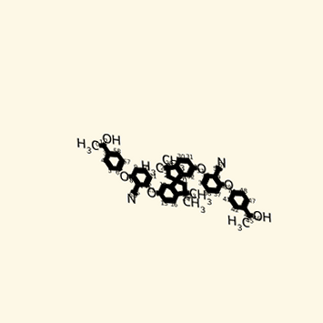 CC(O)c1ccc(Oc2cccc(Oc3ccc4c(c3)C3(CC4(C)C)CC(C)(C)c4ccc(Oc5cccc(Oc6ccc(C(C)O)cc6)c5C#N)cc43)c2C#N)cc1